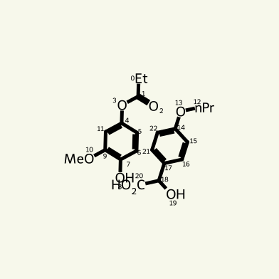 CCC(=O)Oc1ccc(O)c(OC)c1.CCCOc1ccc(C(O)C(=O)O)cc1